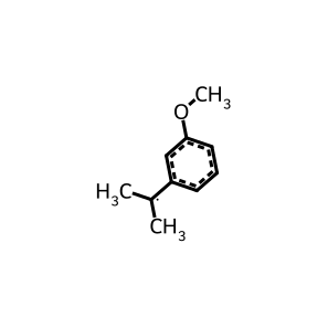 COc1cccc([C](C)C)c1